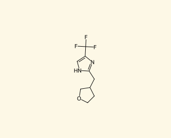 FC(F)(F)c1c[nH]c(CC2CCOC2)n1